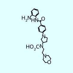 Nc1ccccc1NC(=O)c1ccc(N2CCC(N(CCN3CCOCC3)C(=O)O)C2)cc1